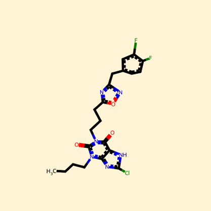 CCCCn1c(=O)n(CCCc2nc(Cc3ccc(F)c(F)c3)no2)c(=O)c2[nH]c(Cl)nc21